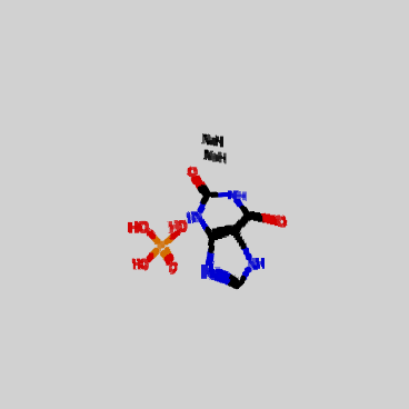 O=P(O)(O)O.O=c1[nH]c(=O)c2[nH]cnc2[nH]1.[NaH].[NaH]